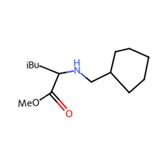 CCC(C)C(NCC1CCCCC1)C(=O)OC